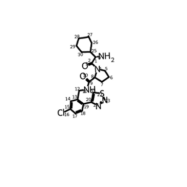 N[C@@H](C(=O)N1CCCC1C(=O)NCc1cc(Cl)ccc1-c1csnn1)C1CCCCC1